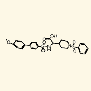 COc1ccc(-c2ccc(S(=O)(=O)NC(C(=O)O)C3CCN(S(=O)(=O)c4ccccc4)CC3)cc2)cc1